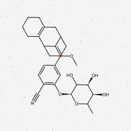 CO/C(=C1\C2CCCC1C1=C(CCCC1)C2)c1ccc(C#N)c(O[C@@H]2OC(C)[C@H](O)[C@H](O)C2O)c1